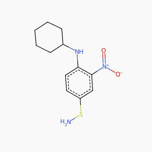 NSc1ccc(NC2CCCCC2)c([N+](=O)[O-])c1